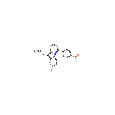 CCOC(=O)Cc1c2cc(F)ccc2n2c(-c3ccc([S+](C)[O-])cc3)nccc12